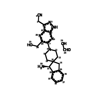 N#CCc1n[nH]c2nc(N3CCC4(CC3)Cc3ccccc3[C@H]4N)c(CO)nc12.O=CO